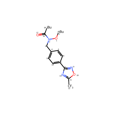 CCCCON(Cc1ccc(-c2noc(C(F)(F)F)n2)cc1)C(=O)C(C)CC